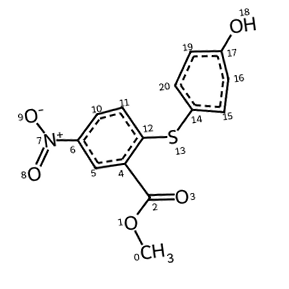 COC(=O)c1cc([N+](=O)[O-])ccc1Sc1ccc(O)cc1